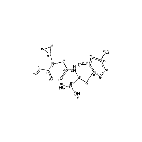 C=CC(=O)N(CC(=O)NC(Cc1ccc(Cl)cc1Cl)B(O)O)C1CC1